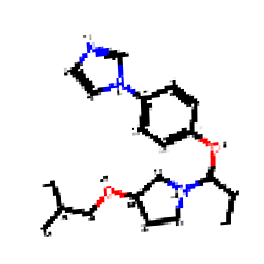 CCC(Oc1ccc(-n2ccnc2)cc1)N1CCC(OCC(C)C)C1